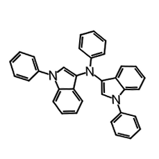 c1ccc(N(c2cn(-c3ccccc3)c3ccccc23)c2cn(-c3ccccc3)c3ccccc23)cc1